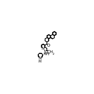 C1=CC=CNC=C1.C=C(Cc1ncccc1C(=O)C1C=c2c(ccc3c2=CCc2ccccc2-3)CC1)SCCC